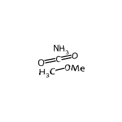 COC.N.O=C=O